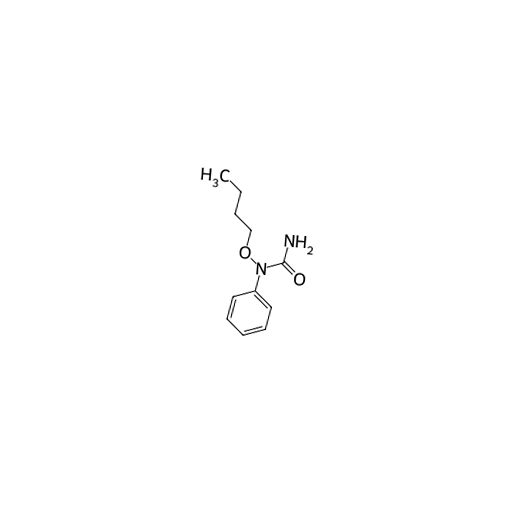 CCCCON(C(N)=O)c1ccccc1